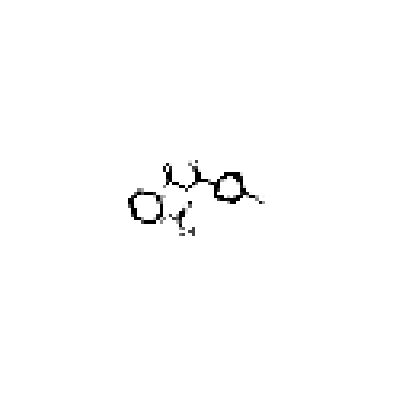 O=C(CC(=O)[C@H]1CC=CC[C@H]1C(=O)O)c1ccc(Cl)cc1